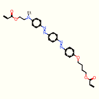 C=CC(=O)OCCCCOc1ccc(N=Nc2ccc(N=Nc3ccc(N(CC)CCOC(=O)C=C)cc3)cc2)cc1